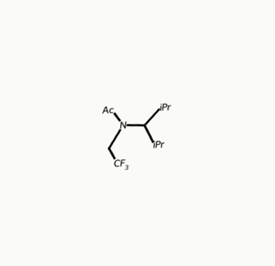 CC(=O)N(CC(F)(F)F)C(C(C)C)C(C)C